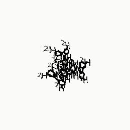 [2H]c1ccc2c(c1)c1cc([2H])ccc1n2-c1c([2H])c([2H])c(N(c2c([2H])c([2H])c(-n3c4ccc([2H])cc4c4cc([2H])ccc43)c([2H])c2[2H])c2c([2H])c([2H])c(-n3c4ccc([2H])cc4c4cc([2H])ccc43)c([2H])c2[2H])c([2H])c1[2H]